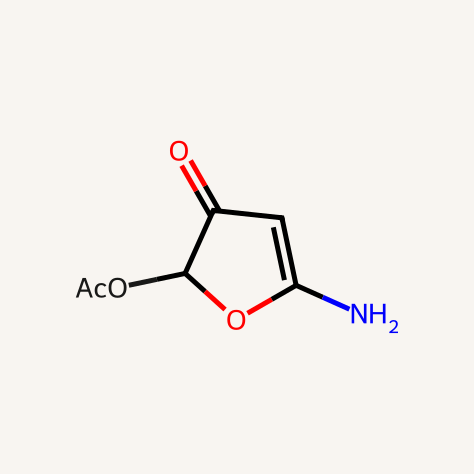 CC(=O)OC1OC(N)=CC1=O